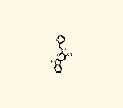 N#CC(=Cc1c[nH]c2ccccc12)C(=O)NCc1ccccn1